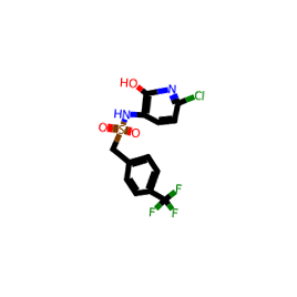 O=S(=O)(Cc1ccc(C(F)(F)F)cc1)Nc1ccc(Cl)nc1O